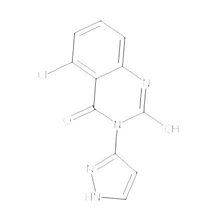 Cc1nc2cccc(Cl)c2c(=O)n1-c1cc[nH]n1